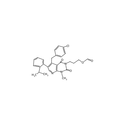 CC(C)c1ccccc1-c1cnc2c(c1Cc1ccc(Cl)cc1)c(=O)n(CCCOC=O)c(=O)n2C